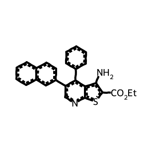 CCOC(=O)c1sc2ncc(-c3ccc4ccccc4c3)c(-c3ccccc3)c2c1N